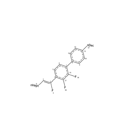 CCCCCCCC=C(F)c1ccc(-c2ccc(CCCCCCCCCC)cc2)c(F)c1F